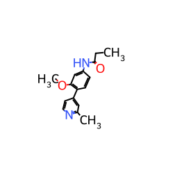 CCC(=O)Nc1ccc(-c2ccnc(C)c2)c(OC)c1